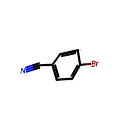 N#Cc1c[c]c(Br)cc1